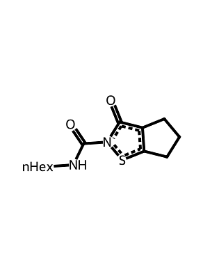 CCCCCCNC(=O)n1sc2c(c1=O)CCC2